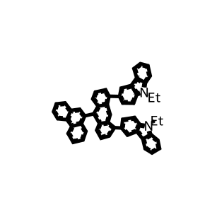 CCn1c2ccccc2c2cc(-c3cccc4c(-c5cc6ccccc6c6ccccc56)c5cccc(-c6ccc7c(c6)c6ccccc6n7CC)c5cc34)ccc21